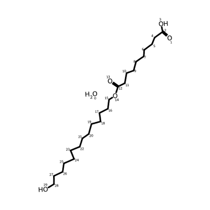 O.O=C(O)CCCCCCCCC(=O)OCCCCCCCCCCCCCCO